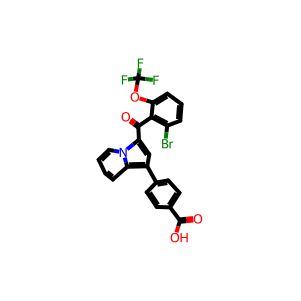 O=C(O)c1ccc(-c2cc(C(=O)c3c(Br)cccc3OC(F)(F)F)n3ccccc23)cc1